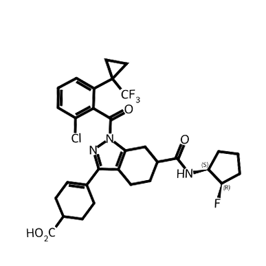 O=C(O)C1CC=C(c2nn(C(=O)c3c(Cl)cccc3C3(C(F)(F)F)CC3)c3c2CCC(C(=O)N[C@H]2CCC[C@H]2F)C3)CC1